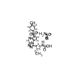 CCC1CC(NC(=O)O)CC1c1nnc2cnc3c(ccn3S(=O)(=O)c3ccc(C)cc3)n12.N[SH](=O)=O